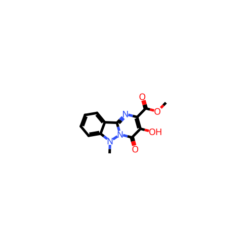 COC(=O)c1nc2c3ccccc3n(C)n2c(=O)c1O